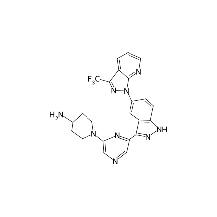 NC1CCN(c2cncc(-c3n[nH]c4ccc(-n5nc(C(F)(F)F)c6cccnc65)cc34)n2)CC1